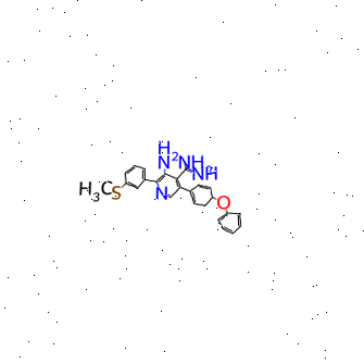 CSc1cccc(-c2ncc(C3=CCC(Oc4ccccc4)C=C3)c(C(=N)N)c2N)c1